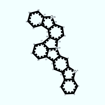 c1ccc2c(c1)oc1cc3c(cc12)c1cccc2c4c5c(ccc4n3c12)oc1ccccc15